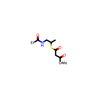 CCC(=O)NCC(C)SC(=O)CC(=O)OC